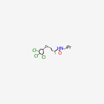 CC(C=CC1CC1c1cc(Cl)c(Cl)c(Cl)c1)=CC(=O)NCC(C)C